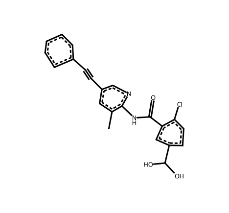 Cc1cc(C#Cc2ccccc2)cnc1NC(=O)c1cc(C(O)O)ccc1Cl